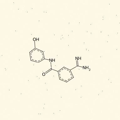 N=C(N)c1cccc(C(=O)Nc2[c]c(O)ccc2)c1